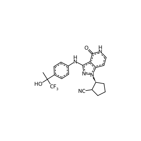 CC(O)(c1ccc(Nc2nn([C@H]3CCCC3C#N)c3cc[nH]c(=O)c23)cc1)C(F)(F)F